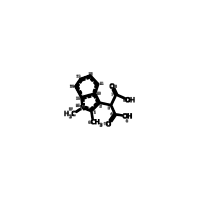 Cc1c(C(C(=O)O)C(=O)O)c2ccccc2n1C